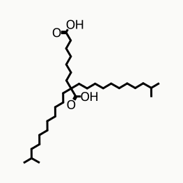 CC(C)CCCCCCCCCC(CCCCCCCCCC(C)C)(CCCCCCC(=O)O)C(=O)O